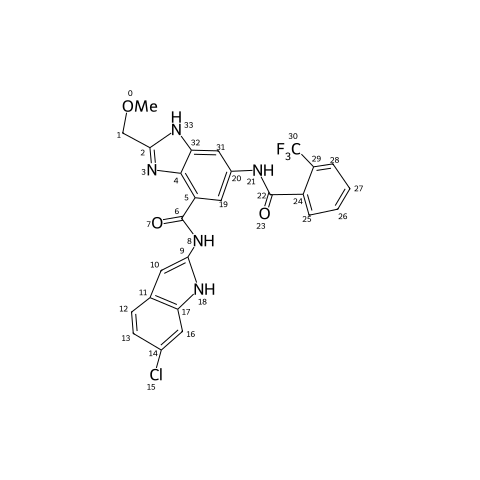 COCc1nc2c(C(=O)Nc3cc4ccc(Cl)cc4[nH]3)cc(NC(=O)c3ccccc3C(F)(F)F)cc2[nH]1